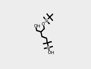 CC(C)(CCC(CO)CO[Si](C)(C)C(C)(C)C)[Si](C)(C)O